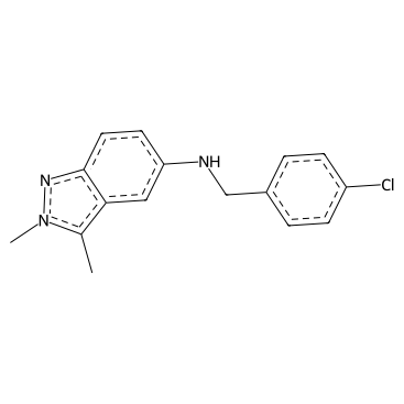 Cc1c2cc(NCc3ccc(Cl)cc3)ccc2nn1C